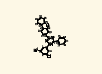 Clc1cc(Br)cc(-c2nc(-c3ccccc3)nc(-c3ccc4c(c3)oc3ccccc34)n2)c1